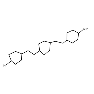 CCCC1CCC(CCC2CCC(CCC3CCC(CC)CC3)CC2)CC1